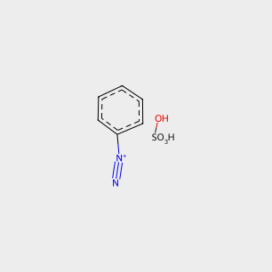 N#[N+]c1ccccc1.O=S(=O)(O)O